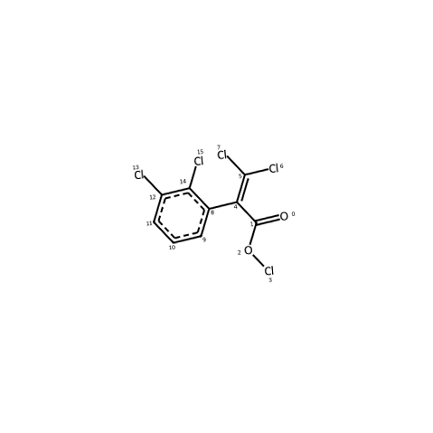 O=C(OCl)C(=C(Cl)Cl)c1cccc(Cl)c1Cl